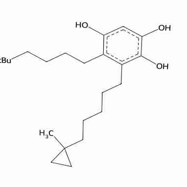 CC(C)(C)CCCCc1c(O)cc(O)c(O)c1CCCCCC1(C)CC1